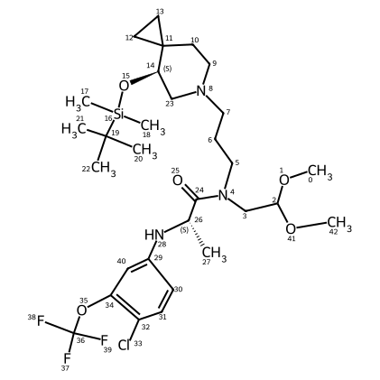 COC(CN(CCCN1CCC2(CC2)[C@H](O[Si](C)(C)C(C)(C)C)C1)C(=O)[C@H](C)Nc1ccc(Cl)c(OC(F)(F)F)c1)OC